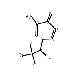 C=C(/C=C\C[C@@H](F)C(C)(C)Cl)C(N)=O